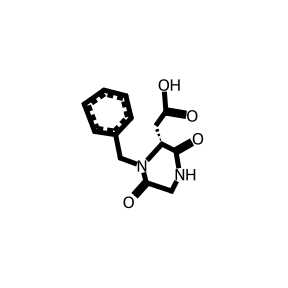 O=C(O)C[C@@H]1C(=O)NCC(=O)N1Cc1ccccc1